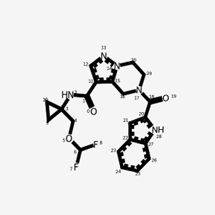 O=C(NC1(COC(F)F)CC1)c1cnn2c1CN(C(=O)c1cc3ccccc3[nH]1)CC2